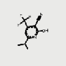 CC(C)c1cc(C(F)(F)F)c(C#N)c(O)n1